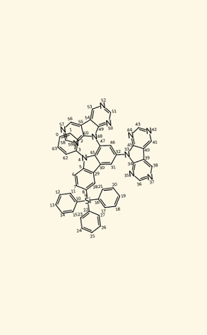 c1ccc(-n2c3ccc([Si](c4ccccc4)(c4ccccc4)c4ccccc4)cc3c3cc(-n4c5ncncc5c5cncnc54)cc(-n4c5ncncc5c5cncnc54)c32)cc1